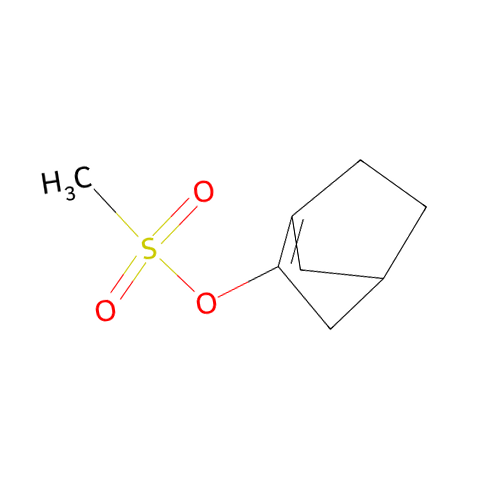 CS(=O)(=O)OC1=C2CCC(C2)C1